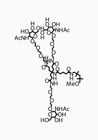 COCC(C)(C)CC(C)(C)CNC(=O)CCCC(=O)NC(CCC(=O)NCCOCCOCCOC1OC(CO)C(O)C(O)C1NC(C)=O)(CCC(=O)NCCOCCOCCOC1OC(CO)C(O)C(O)C1NC(C)=O)CCC(=O)NCCOCCOCCOC1OC(CO)C(O)C(O)C1NC(C)=O